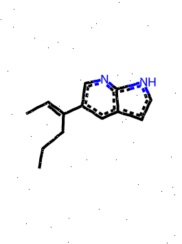 C/C=C(\CCC)c1cnc2[nH]ccc2c1